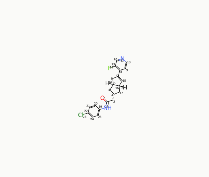 O=C(C[C@@H]1C[C@@H]2CC(c3ccncc3F)=C[C@@H]2C1)Nc1ccc(Cl)cc1